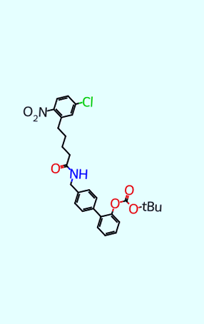 CC(C)(C)OC(=O)Oc1ccccc1-c1ccc(CNC(=O)CCCCc2cc(Cl)ccc2[N+](=O)[O-])cc1